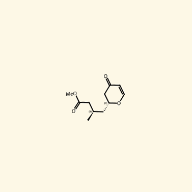 COC(=O)C[C@H](C)C[C@@H]1CC(=O)C=CO1